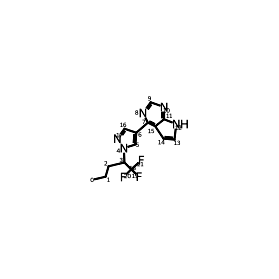 CCCC(n1cc(-c2ncnc3[nH]ccc23)cn1)C(F)(F)F